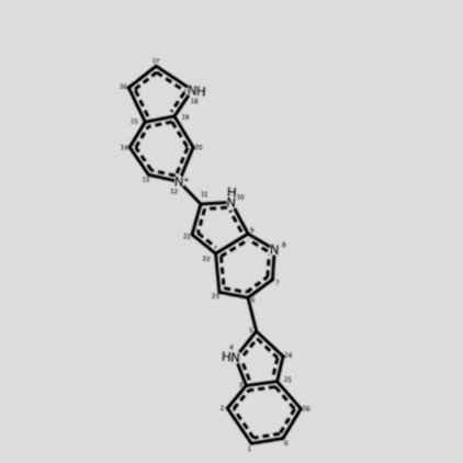 c1ccc2[nH]c(-c3cnc4[nH]c(-[n+]5ccc6cc[nH]c6c5)cc4c3)cc2c1